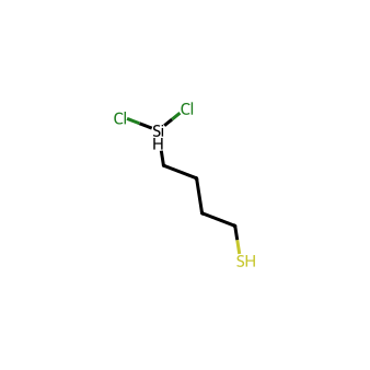 SCCCC[SiH](Cl)Cl